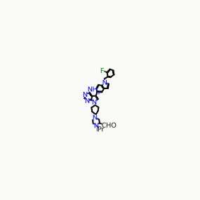 CC(C)N1CCN(C2CCC(n3cc(-c4ccc5c(ccn5Cc5ccccc5F)c4)c4c(N)ncnc43)CC2)CC1C=O